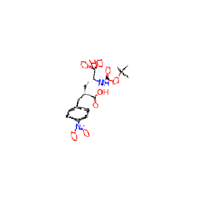 CC(C)(C)OC(=O)N[C@H](C[C@H](Cc1ccc([N+](=O)[O-])cc1)C(=O)O)C(=O)O